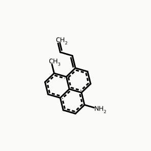 C=C/C=c1/ccc2c(N)ccc3ccc(C)c1c32